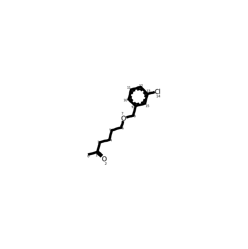 CC(=O)CCCCOCc1cccc(Cl)c1